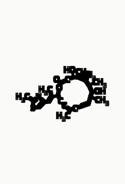 C/C(=C\c1csc(C)n1)[C@@H]1CCC(C)C/C=C/[C@H](C)[C@H](O)[C@@H](C)C(=O)C(C)(C)[C@@H](O)CC(=O)O1